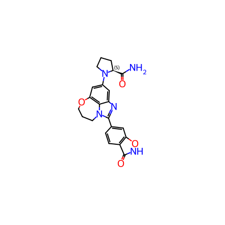 NC(=O)[C@@H]1CCCN1c1cc2c3c(c1)nc(-c1ccc4c(=O)[nH]oc4c1)n3CCCO2